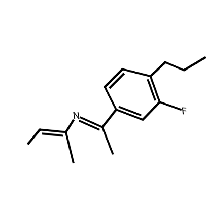 C/C=C(C)/N=C(\C)c1ccc(CCC)c(F)c1